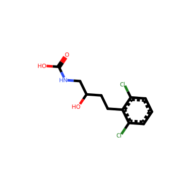 O=C(O)NCC(O)CCc1c(Cl)cccc1Cl